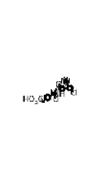 CN(C(=O)O)c1ccc(-c2nc(Cn3ccc(-c4cc(Cl)ccc4-n4cnnn4)cc3=O)[nH]c2Cl)cc1